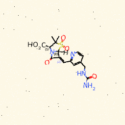 CC1(C)[C@H](C(=O)O)N2C(=O)/C(=C/c3cc(CNC(N)=O)ccn3)[C@H]2S1(=O)=O